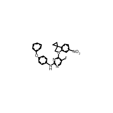 O=[N+]([O-])c1ccc2c(c1)N(c1nc(Nc3ccc(Oc4ccccc4)cc3)ncc1F)CC21CC1